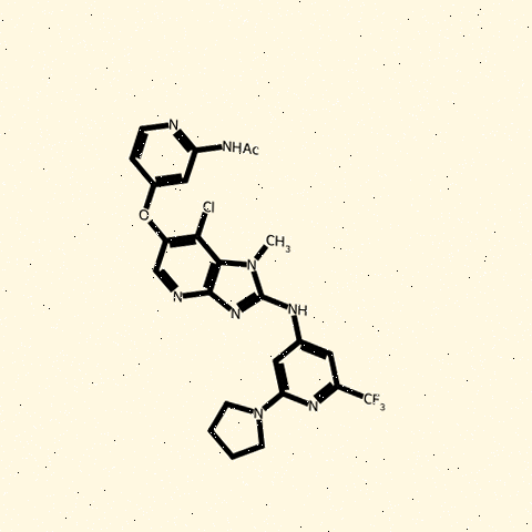 CC(=O)Nc1cc(Oc2cnc3nc(Nc4cc(N5CCCC5)nc(C(F)(F)F)c4)n(C)c3c2Cl)ccn1